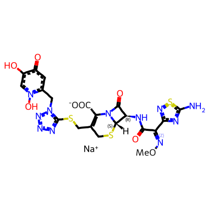 CO/N=C(\C(=O)N[C@@H]1C(=O)N2C(C(=O)[O-])=C(CSc3nnnn3Cc3cc(=O)c(O)cn3O)CS[C@@H]12)c1nsc(N)n1.[Na+]